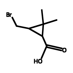 CC1(C)C(CBr)C1C(=O)O